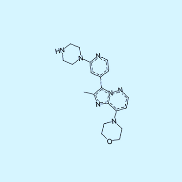 Cc1nc2c(N3CCOCC3)ccnn2c1-c1ccnc(N2CCNCC2)c1